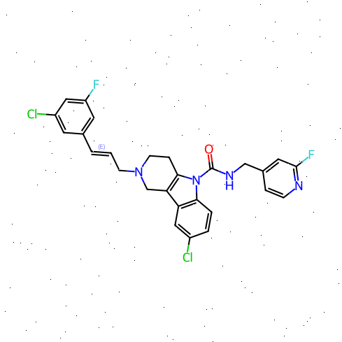 O=C(NCc1ccnc(F)c1)n1c2c(c3cc(Cl)ccc31)CN(C/C=C/c1cc(F)cc(Cl)c1)CC2